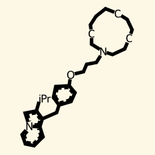 CC(C)c1cn2ccccc2c1Cc1ccc(OCCCN2CCCCCCCCCCC2)cc1